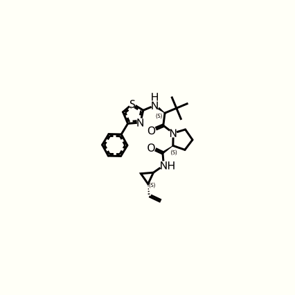 C=C[C@@H]1CC1NC(=O)[C@@H]1CCCN1C(=O)[C@@H](Nc1nc(-c2ccccc2)cs1)C(C)(C)C